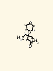 CCC(CC)(CN=O)N1CCOCC1